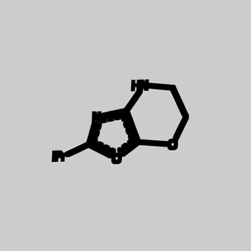 CC(C)c1nc2c(o1)OCCN2